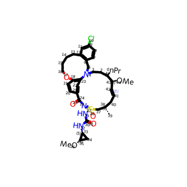 CCC[C@@H]1CCN2Cc3ccc(Cl)cc3CCCCOc3ccc(cc32)C(=O)N=S(=O)(NC(=O)N[C@H]2C[C@@H]2OC)C[C@@H](C)C/C=C/[C@@H]1OC